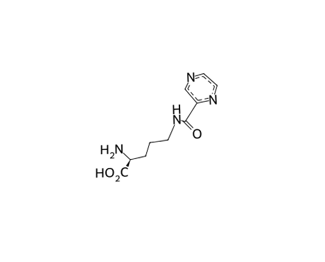 N[C@@H](CCCNC(=O)c1cnccn1)C(=O)O